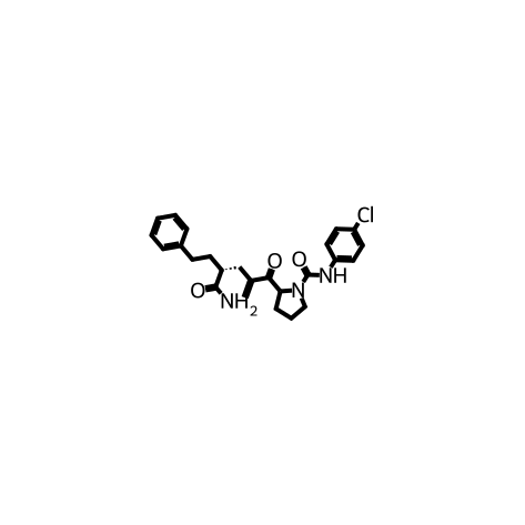 C=C(C[C@@H](CCc1ccccc1)C(N)=O)C(=O)C1CCCN1C(=O)Nc1ccc(Cl)cc1